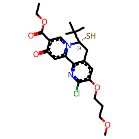 CCOC(=O)c1cn2c(cc1=O)-c1nc(Cl)c(OCCCOC)cc1C[C@]2(S)C(C)(C)C